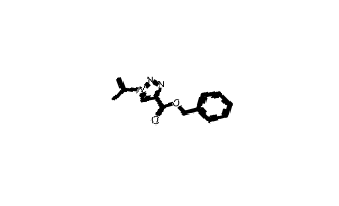 CC(C)n1cc(C(=O)OCc2ccccc2)nn1